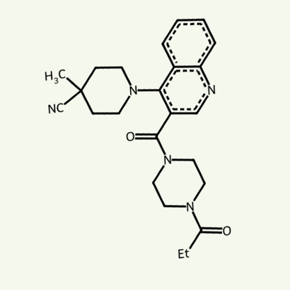 CCC(=O)N1CCN(C(=O)c2cnc3ccccc3c2N2CCC(C)(C#N)CC2)CC1